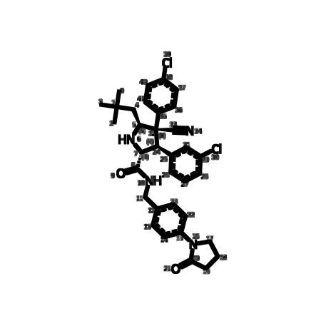 CC(C)(C)C[C@@H]1N[C@@H](C(=O)NCc2ccc(N3CCCC3=O)cc2)[C@H](c2cccc(Cl)c2)[C@@]1(C#N)c1ccc(Cl)cc1